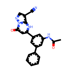 CC(=O)Nc1cc(-c2ccccc2)cc(-c2cc(=O)n3ncc(C#N)c3[nH]2)c1